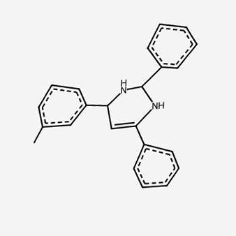 Cc1cccc(C2C=C(c3ccccc3)NC(c3ccccc3)N2)c1